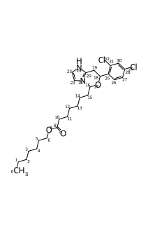 CCCCCCCOC(=O)CCCCCCCOC(Cc1ncc[nH]1)c1ccc(Cl)cc1Cl